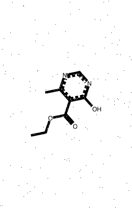 CCOC(=O)c1c(C)ncnc1O